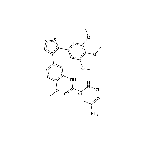 COc1ccc(-c2cnsc2-c2cc(OC)c(OC)c(OC)c2)cc1NC(=O)[C@@H](CC(N)=O)NCl